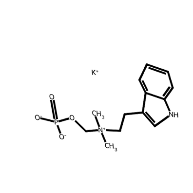 C[N+](C)(CCc1c[nH]c2ccccc12)COP(=O)([O-])[O-].[K+]